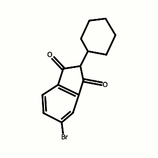 O=C1c2ccc(Br)cc2C(=O)C1C1CCCCC1